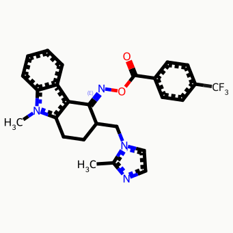 Cc1nccn1CC1CCc2c(c3ccccc3n2C)/C1=N/OC(=O)c1ccc(C(F)(F)F)cc1